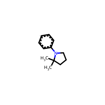 CC1(C)CCCN1c1cc[c]cc1